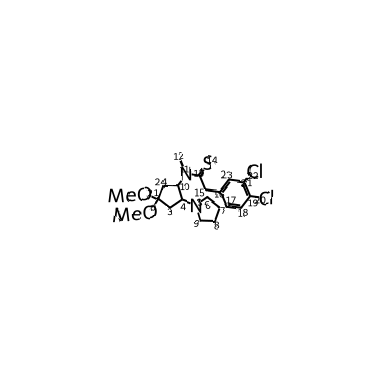 COC1(OC)CC(N2CCCC2)C(N(C)C(=S)Cc2ccc(Cl)c(Cl)c2)C1